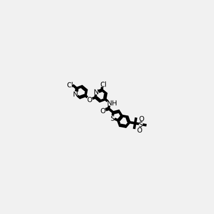 CC(C)(c1ccc2sc(C(=O)Nc3cc(Cl)nc(Oc4ccc(Cl)nc4)c3)cc2c1)S(C)(=O)=O